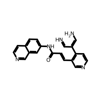 N=C/C(=C\N)c1ccncc1/C=C/C(=O)Nc1ccc2ccncc2c1